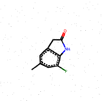 Cc1cc(F)c2c(c1)CC(=O)N2